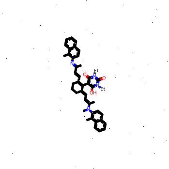 CCn1c(O)c(C2=C(/C=C/C(C)=N/c3ccc4ccccc4c3C)CCC/C2=C\C=C(/C)N(C)c2ccc3ccccc3c2C)c(=O)n(CC)c1=O